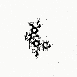 C=CC(=O)Nc1cc(Nc2cc(-c3ccc(N(C)CC)c(C=C)c3)ncn2)c(OCC)cc1N1CCN(C)CC1